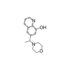 CC(c1cc(O)c2ncccc2c1)N1CCOCC1